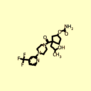 CC(O)CC1(C(=O)N2CCN(c3cc(C(F)(F)F)ccn3)CC2)CCC(OC(N)=O)C1